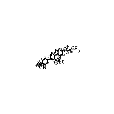 CCS(=O)(=O)c1cc(-c2ccc(C3(C#N)CC3)cc2)cnc1-c1ccc(OCC(F)(F)C(F)(F)F)nn1